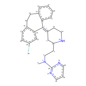 CN(CCC1C/C(=C2/c3ccccc3CCc3ccc(F)cc32)CCN1)c1ncccn1